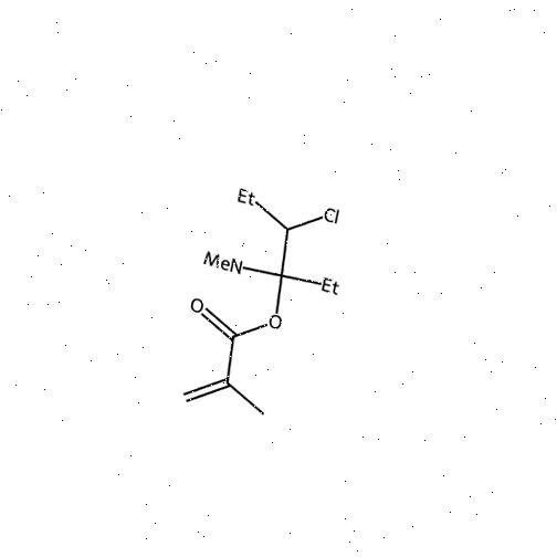 C=C(C)C(=O)OC(CC)(NC)C(Cl)CC